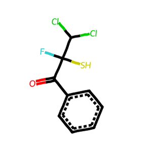 O=C(c1ccccc1)C(F)(S)C(Cl)Cl